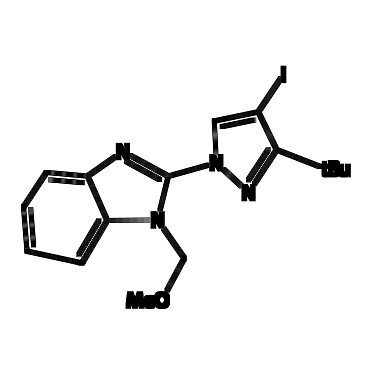 COCn1c(-n2cc(I)c(C(C)(C)C)n2)nc2ccccc21